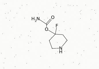 NC(=O)OC1(F)CCNCC1